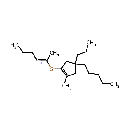 CCC/C=C(\C)SC1=C(C)CC(CCC)(CCCCC)C1